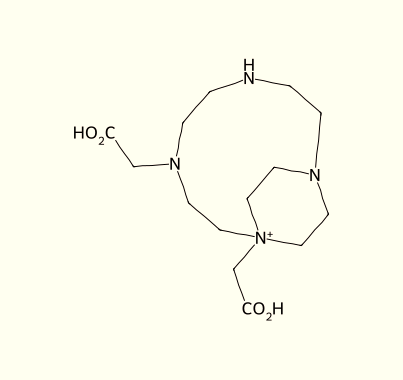 O=C(O)CN1CCNCCN2CC[N+](CC(=O)O)(CC2)CC1